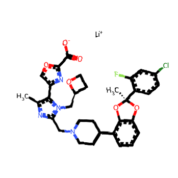 Cc1nc(CN2CCC(c3cccc4c3O[C@@](C)(c3ccc(Cl)cc3F)O4)CC2)n(C[C@@H]2CCO2)c1-c1coc(C(=O)[O-])n1.[Li+]